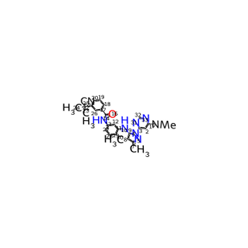 CNc1cc(-n2nc(C)cc2Nc2cc(NC(=O)c3cccc(C(C)(C)C#N)c3)ccc2C)ncn1